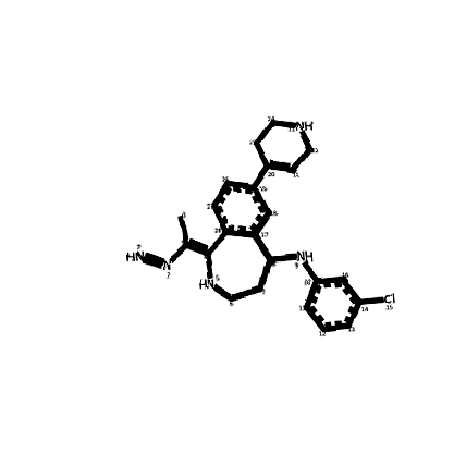 C/C(N=N)=C1/NCCC(Nc2cccc(Cl)c2)c2cc(C3=CCNCC3)ccc21